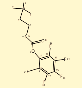 CC(C)(C)CCNC(=O)Oc1c(F)c(F)c(F)c(F)c1F